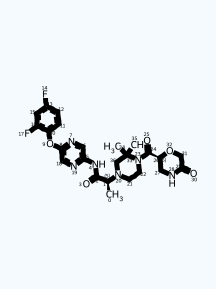 C[C@@H](C(=O)Nc1cnc(Oc2ccc(F)cc2F)cn1)N1CCN(C(=O)[C@@H]2CNC(=O)CO2)C(C)(C)C1